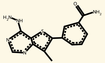 Cc1c(-c2cccc(C(N)=O)c2)sc2c(NN)ncnc12